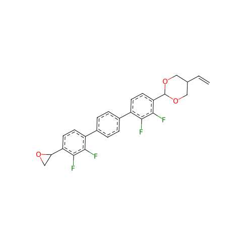 C=CC1COC(c2ccc(-c3ccc(-c4ccc(C5CO5)c(F)c4F)cc3)c(F)c2F)OC1